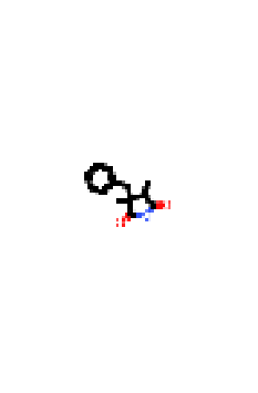 CC1C(=O)[N]C(=O)C1(C)Cc1ccccc1